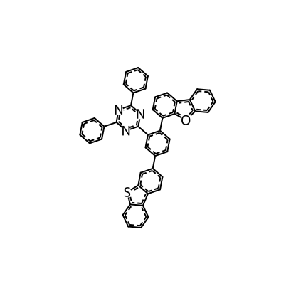 c1ccc(-c2nc(-c3ccccc3)nc(-c3cc(-c4ccc5c(c4)sc4ccccc45)ccc3-c3cccc4c3oc3ccccc34)n2)cc1